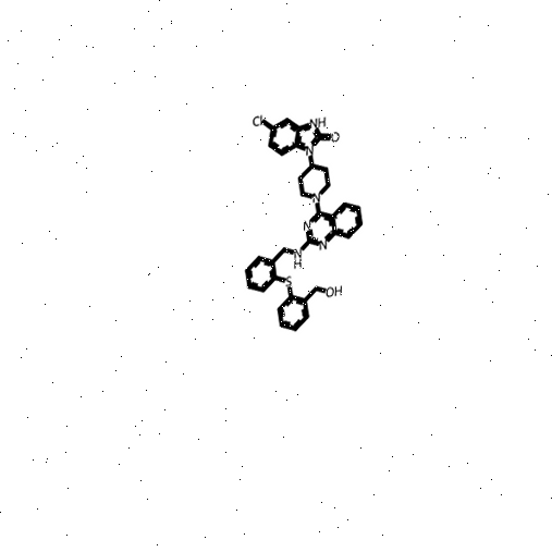 O=c1[nH]c2cc(Cl)ccc2n1C1CCN(c2nc(NCc3ccccc3Sc3ccccc3CO)nc3ccccc23)CC1